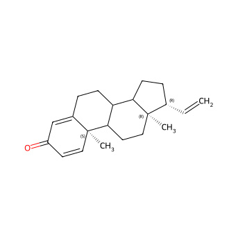 C=C[C@H]1CCC2C3CCC4=CC(=O)C=C[C@]4(C)C3CC[C@@]21C